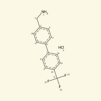 Cl.NCc1ccc(-c2ccc(C(F)(F)F)cc2)cc1